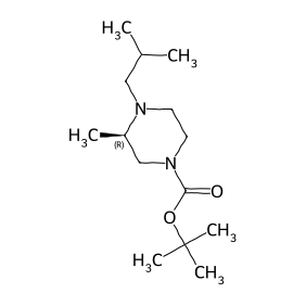 CC(C)CN1CCN(C(=O)OC(C)(C)C)C[C@H]1C